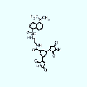 CN(C)c1cccc2c(S(=O)(=O)NCCNC(=O)c3cc(C4=CC(=O)NC4=O)cc(C4=CC(=O)NC4=O)c3)cccc12